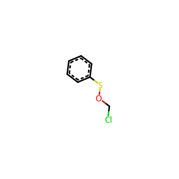 ClCOSc1ccccc1